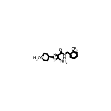 CN1CCC(c2nc(C(=O)NCc3ccccc3C(F)(F)F)c(N)s2)CC1